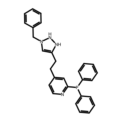 C1=C(CCc2ccnc(P(c3ccccc3)c3ccccc3)c2)NNN1Cc1ccccc1